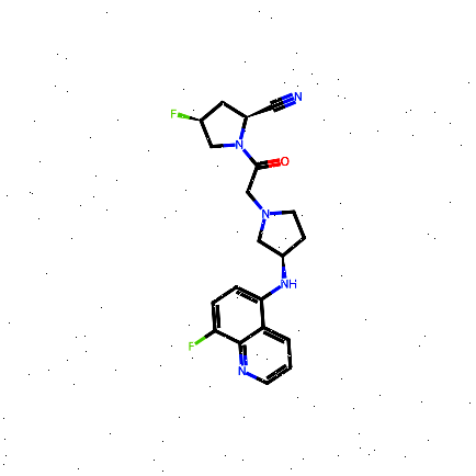 N#C[C@@H]1C[C@H](F)CN1C(=O)CN1CC[C@@H](Nc2ccc(F)c3ncccc23)C1